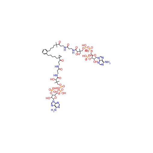 CC(C)(CCCCc1ccccc1CCCCCC1(C(=O)CCNC(=O)CCNC(=O)C(O)C(C)(C)COP(=O)(O)OP(=O)(O)OCC2OC(n3cnc4c(N)ncnc43)C(O)C2OP(=O)(O)O)CC1)C(=O)CCNC(=O)CCNC(=O)C(O)C(C)(C)COP(=O)(O)OP(=O)(O)OCC1OC(n2cnc3c(N)ncnc32)C(O)C1OP(=O)(O)O